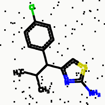 CC(C)C(c1ccc(Cl)cc1)c1csc(N)n1